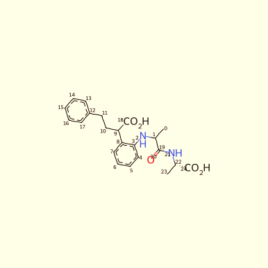 CC(Nc1ccccc1C(CCc1ccccc1)C(=O)O)C(=O)N[C@@H](C)C(=O)O